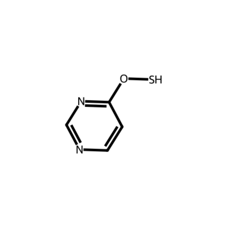 SOc1ccncn1